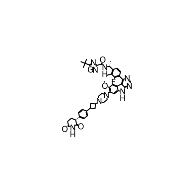 COc1cc2c(cc1N1CCN(C3CC(c4ccc([C@H]5CCC(=O)NC5=O)cc4)C3)CC1)[nH]c1ncnc(-c3ccc([C@@H](C)NC(=O)c4noc(C(C)(C)C)n4)c(C)c3F)c12